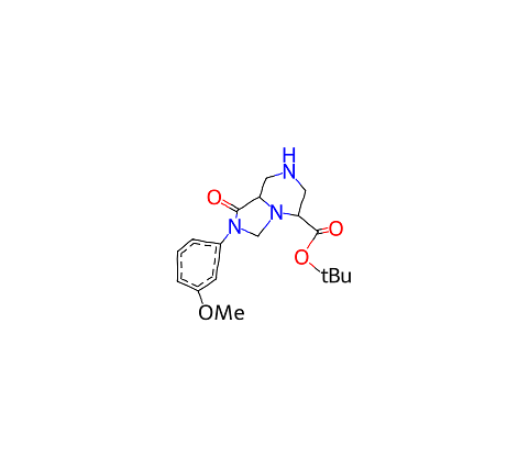 COc1cccc(N2CN3C(C(=O)OC(C)(C)C)CNCC3C2=O)c1